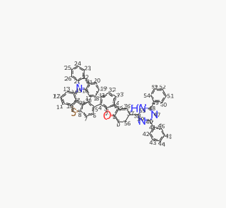 C1=c2oc3c(-c4ccc5sc6cccc(-n7c8ccccc8c8ccccc87)c6c5c4)cccc3c2=CC(C2N=C(c3ccccc3)N=C(c3ccccc3)N2)C1